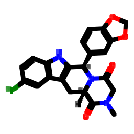 CN1CC(=O)N2[C@H](c3ccc4c(c3)OCO4)c3[nH]c4ccc([18F])cc4c3C[C@@H]2C1=O